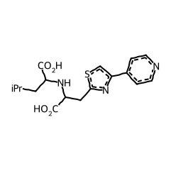 CC(C)CC(NC(Cc1nc(-c2ccncc2)cs1)C(=O)O)C(=O)O